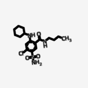 CCCCNC(=O)c1cc(S(N)(=O)=O)c(Cl)cc1NC1CCCCC1